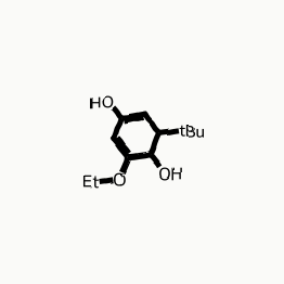 CCOC1=CC(O)=CC(C(C)(C)C)C1O